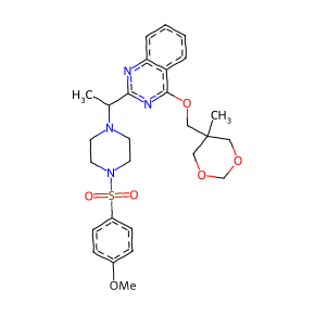 COc1ccc(S(=O)(=O)N2CCN(C(C)c3nc(OCC4(C)COCOC4)c4ccccc4n3)CC2)cc1